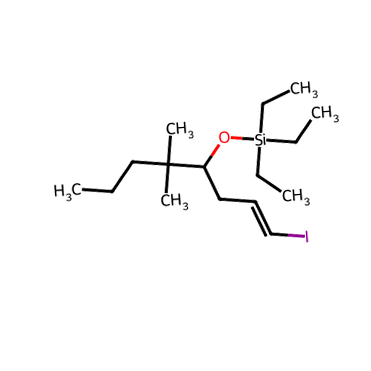 CCCC(C)(C)C(C/C=C/I)O[Si](CC)(CC)CC